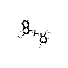 COc1cc(NC(=O)Nc2cc(Cl)ccc2OC)c2ccccc2n1